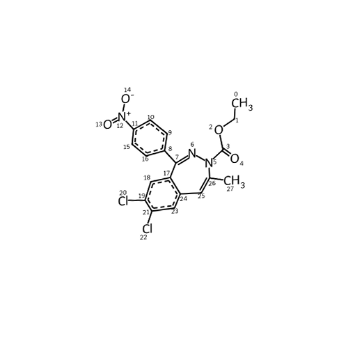 CCOC(=O)N1N=C(c2ccc([N+](=O)[O-])cc2)c2cc(Cl)c(Cl)cc2C=C1C